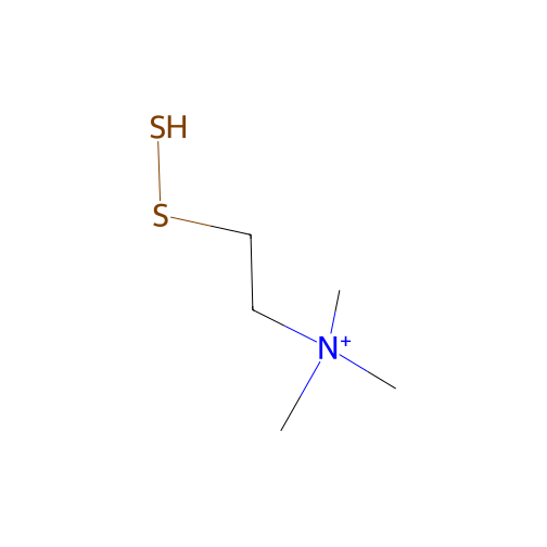 C[N+](C)(C)CCSS